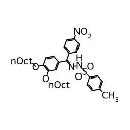 CCCCCCCCOc1ccc(/C(=N/NS(=O)(=O)c2ccc(C)cc2)c2ccc([N+](=O)[O-])cc2)cc1OCCCCCCCC